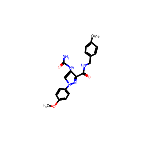 COc1ccc(CNC(=O)c2nn(-c3ccc(OC(F)(F)F)cc3)cc2NC(N)=O)cc1